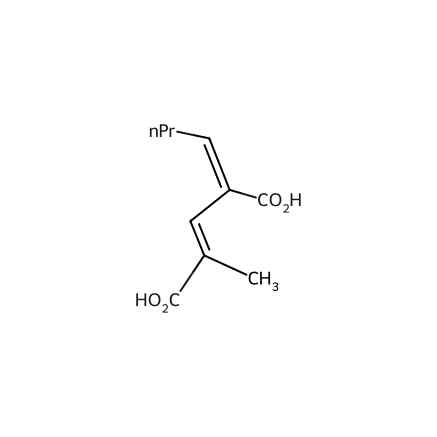 CCCC=C(C=C(C)C(=O)O)C(=O)O